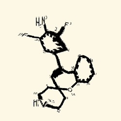 Nc1c(F)cc(C2=CC3(CCNCC3)Oc3ccccc32)cc1F